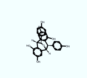 Oc1ccc([C@@H]2c3c(O)cc(O)cc3[C@H]3c4c(O)cc(O)cc4[C@@H]2O[C@@H]3c2ccc(O)cc2)cc1